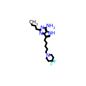 CCCCc1nc(N)c2[nH]cc(CCCCCN3CCC(F)(F)CC3)c2n1